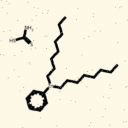 CCCCCCC[CH2][Zn]([CH2]CCCCCCC)[c]1ccccc1.NC(=S)S